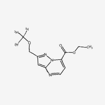 [2H]C([2H])([2H])OCc1cc2nccc(C(=O)OCC)n2n1